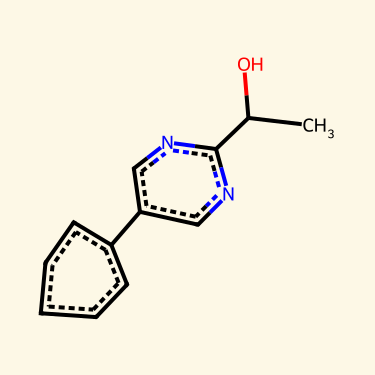 CC(O)c1ncc(-c2ccccc2)cn1